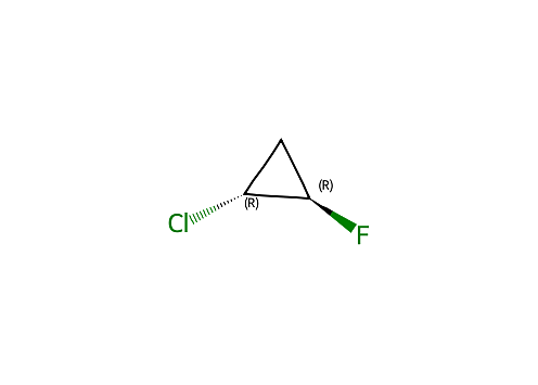 F[C@@H]1C[C@H]1Cl